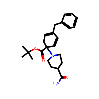 CC(C)(C)OC(=O)C1(N2CCC(C(N)=O)CC2)C=CC(Cc2ccccc2)=CC1